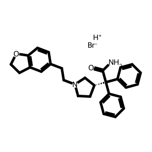 NC(=O)C(c1ccccc1)(c1ccccc1)[C@@H]1CCN(CCc2ccc3c(c2)CCO3)C1.[Br-].[H+]